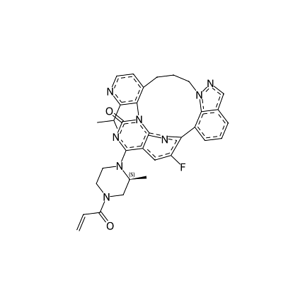 C=CC(=O)N1CCN(c2nc(=O)n3c4nc(c(F)cc24)-c2cccc4cnn(c24)CCCc2ccnc(C(C)C)c2-3)[C@@H](C)C1